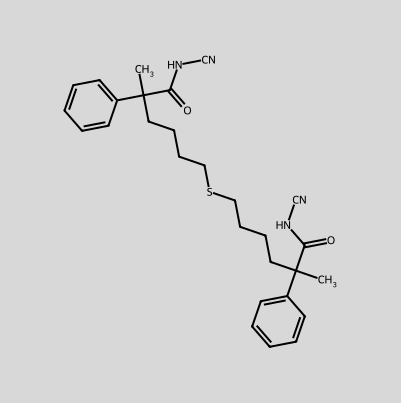 CC(CCCCSCCCCC(C)(C(=O)NC#N)c1ccccc1)(C(=O)NC#N)c1ccccc1